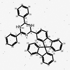 c1ccc(C2=NC(c3ccc4c(c3)C3(c5ccccc5-c5ccccc53)c3ccccc3-4)NC(c3ccccc3)N2)cc1